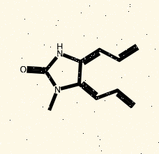 C=C/C=c1/[nH]c(=O)n(C)/c1=C/C=C